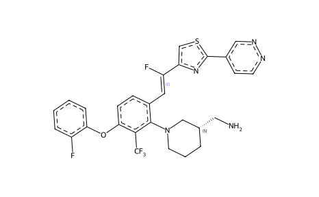 NC[C@@H]1CCCN(c2c(/C=C(\F)c3csc(-c4ccnnc4)n3)ccc(Oc3ccccc3F)c2C(F)(F)F)C1